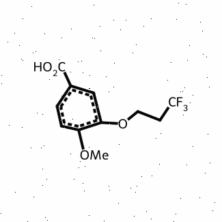 COc1ccc(C(=O)O)cc1OCCC(F)(F)F